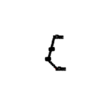 CCCCCCCCCCCCCCCCCCCCCC(=O)OCCCCCCCCOC(=O)CCCCCCCCCCCCCCCCCCCCC